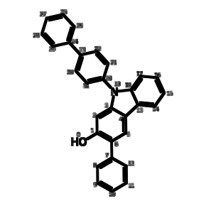 Oc1cc2c(cc1-c1ccccc1)c1ccccc1n2-c1ccc(-c2ccccc2)cc1